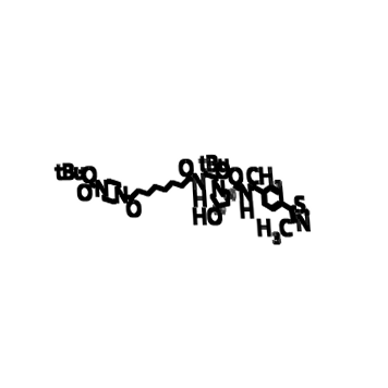 Cc1ncsc1-c1ccc(C(C)NC(=O)[C@@H]2C[C@@H](O)CN2C(=O)C(NC(=O)CCCCCCC(=O)N2CCN(C(=O)OC(C)(C)C)CC2)C(C)(C)C)cc1